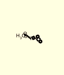 CC(=O)OCC#CCN1CCN(c2cccc3c2CCc2ccccc2C3)CC1